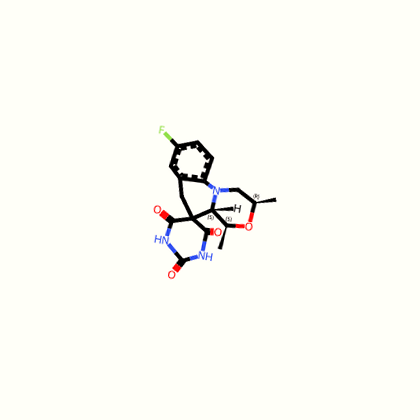 C[C@@H]1CN2c3ccc(F)cc3CC3(C(=O)NC(=O)NC3=O)[C@H]2[C@H](C)O1